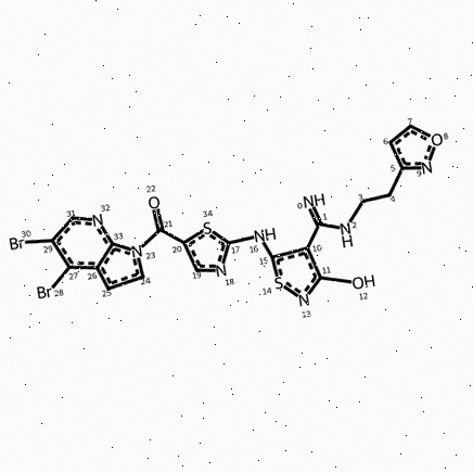 N=C(NCCc1ccon1)c1c(O)nsc1Nc1ncc(C(=O)n2ccc3c(Br)c(Br)cnc32)s1